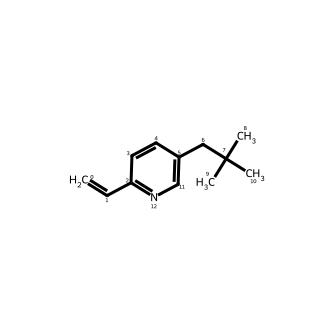 C=Cc1ccc(CC(C)(C)C)cn1